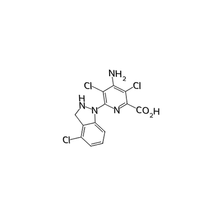 Nc1c(Cl)c(C(=O)O)nc(N2NCc3c(Cl)cccc32)c1Cl